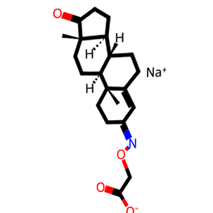 C[C@]12CCC(=NOCC(=O)[O-])C=C1CC[C@@H]1[C@@H]2CC[C@]2(C)C(=O)CC[C@@H]12.[Na+]